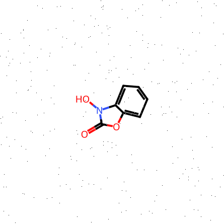 O=c1oc2ccccc2n1O